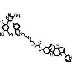 CC(C)c1cc(-c2nnc(O)n2-c2ccc3c(ccn3CCOCCNC(=O)OC3CCC4(C)C(=CCC5[C@@H]4CCC4(C)C(c6cccnc6)=CC[C@@H]54)C3)c2)c(O)cc1O